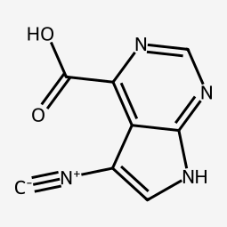 [C-]#[N+]c1c[nH]c2ncnc(C(=O)O)c12